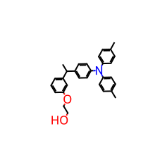 Cc1ccc(N(c2ccc(C)cc2)c2ccc(C(C)c3cccc(OCCO)c3)cc2)cc1